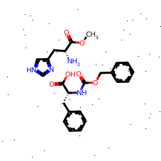 COC(=O)[C@H](N)Cc1c[nH]cn1.O=C(N[C@H](Cc1ccccc1)C(=O)O)OCc1ccccc1